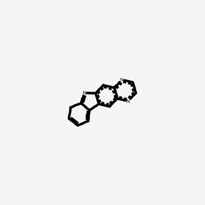 [C]1=CCC2=Nc3cc4nccnc4cc3C2=C1